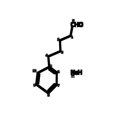 O=CCCCCc1ccccc1.[NaH]